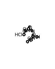 CN1CCN(c2nc(N3CC(c4ccccc4)OC3=O)cc3ccoc23)CC1.CN1CCN(c2nc(N3CCN(c4ccccc4)C3=O)cc3ccoc23)CC1.Cl